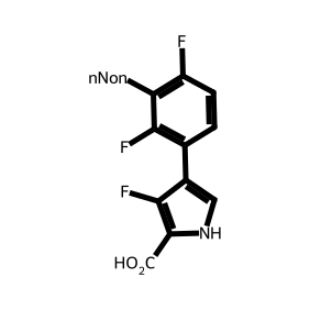 CCCCCCCCCc1c(F)ccc(-c2c[nH]c(C(=O)O)c2F)c1F